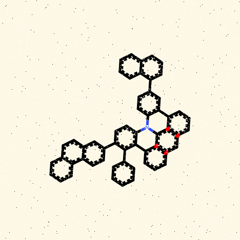 c1ccc(-c2cc(-c3cccc4ccccc34)ccc2N(c2ccccc2)c2ccc(-c3ccc4c(ccc5ccccc54)c3)c(-c3ccccc3)c2-c2ccccc2)cc1